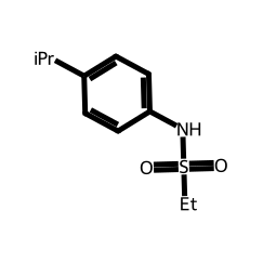 CCS(=O)(=O)Nc1ccc(C(C)C)cc1